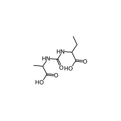 CCC(NC(=O)NC(C)C(=O)O)C(=O)O